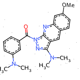 COc1ccc2cc3c(N(C)C)nn(C(=O)c4cccc(N(C)C)c4)c3nc2c1